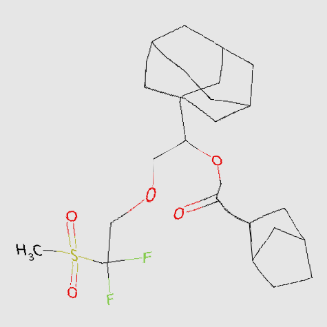 CS(=O)(=O)C(F)(F)COCC(OC(=O)C1CC2CCC1C2)C12CC3CC(CC(C3)C1)C2